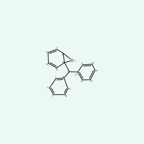 C1=CC2OC2(C(c2ccccc2)c2ccccc2)C=C1